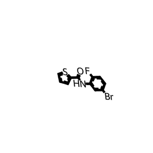 O=C(Nc1cc(Br)ccc1F)c1cccs1